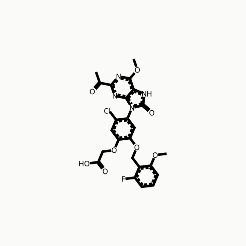 COc1cccc(F)c1COc1cc(-n2c(=O)[nH]c3c(OC)nc(C(C)=O)nc32)c(Cl)cc1OCC(=O)O